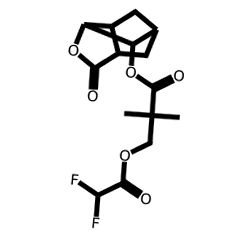 CC(C)(COC(=O)C(F)F)C(=O)OC1C2CC3C(=O)OC1C3C2